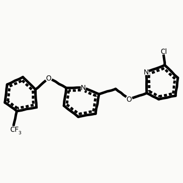 FC(F)(F)c1cccc(Oc2cccc(COc3cccc(Cl)n3)n2)c1